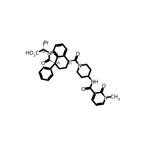 CC(C)[C@H](NC(=O)[C@@]1(c2ccccc2)CC[C@H](C(=O)N2CCC(NC(=O)c3cccn(C)c3=O)CC2)c2ccccc21)C(=O)O